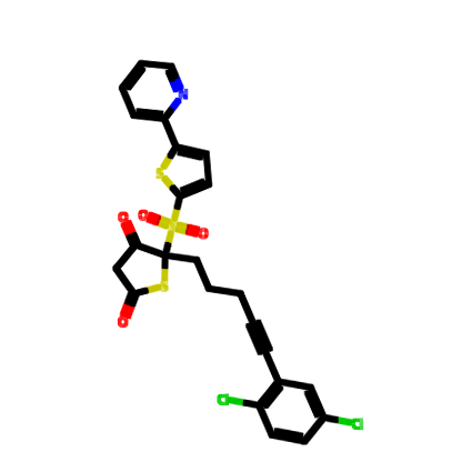 O=C1CC(=O)C(CCCC#Cc2cc(Cl)ccc2Cl)(S(=O)(=O)c2ccc(-c3ccccn3)s2)S1